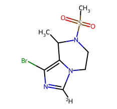 [2H]c1nc(Br)c2n1CCN(S(C)(=O)=O)C2C